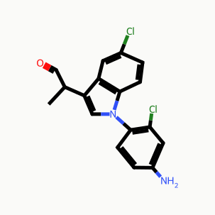 CC(C=O)c1cn(-c2ccc(N)cc2Cl)c2ccc(Cl)cc12